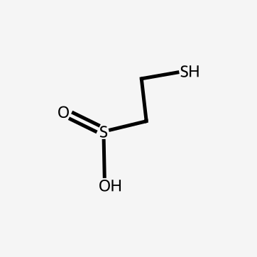 O=S(O)CCS